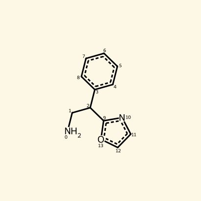 NCC(c1ccccc1)c1ncco1